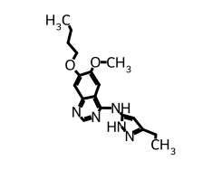 CCCCOc1cc2ncnc(Nc3cc(CC)n[nH]3)c2cc1OC